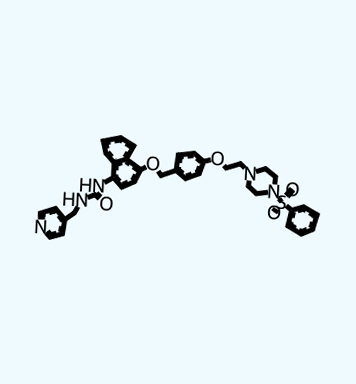 O=C(NCc1ccncc1)Nc1ccc(OCc2ccc(OCCN3CCN(S(=O)(=O)c4ccccc4)CC3)cc2)c2ccccc12